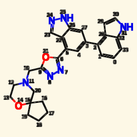 c1cc(-c2cc(-c3nnc(CN4CCOC5(CCCC5)C4)o3)c3cn[nH]c3c2)c2cc[nH]c2c1